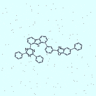 c1ccc(-c2ccc3oc(-c4cccc(-c5cccc6c5sc5c(-c7nc(-c8ccccc8)nc(-c8ccccc8)n7)cccc56)c4)nc3c2)cc1